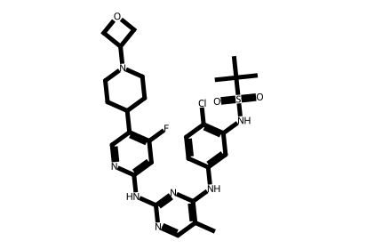 Cc1cnc(Nc2cc(F)c(C3CCN(C4COC4)CC3)cn2)nc1Nc1ccc(Cl)c(NS(=O)(=O)C(C)(C)C)c1